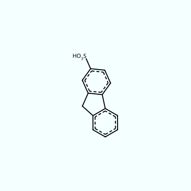 O=S(=O)(O)c1ccc2c(c1)Cc1ccccc1-2